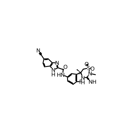 CN1C(=N)N[C@](C)(c2cc(NC(=O)c3nc4cc(C#N)ccc4[nH]3)ccc2F)CS1(=O)=O